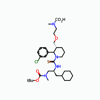 CN(CCOC[C@@H]1CCCN(C(=S)N[C@@H](CC2CCCCC2)CN(C)C(=O)OC(C)(C)C)C1c1cccc(Cl)c1)C(=O)O